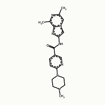 Cc1cn2cc(NC(=O)c3ccc(N4CCN(C)CC4)nc3)nc2c(C)n1